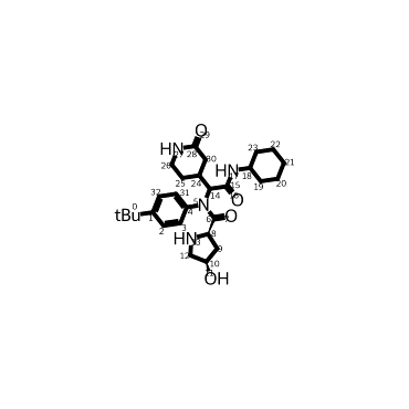 CC(C)(C)c1ccc(N(C(=O)[C@H]2C[C@@H](O)CN2)C(C(=O)NC2CCCCC2)C2CCNC(=O)C2)cc1